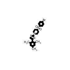 Cc1cc(C)c(-c2csc(N3CCC(S(=O)(=O)c4ccc(Br)cc4)CC3)n2)c(C)c1